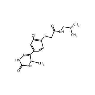 CC(C)CNC(=O)COc1ccc(C2=NNC(=O)NC2C)cc1Cl